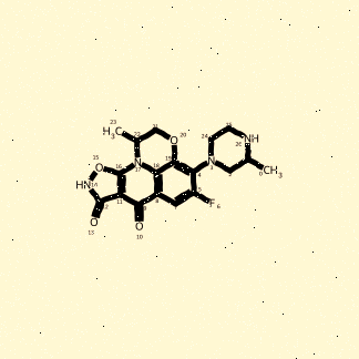 CC1CN(c2c(F)cc3c(=O)c4c(=O)[nH]oc4n4c3c2OCC4C)CCN1